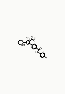 Cc1ccc(NC(=O)c2ccc(-c3nc(C4CCCCN4)n(N)c3C(N)=O)cc2)nc1